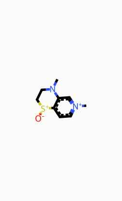 CN1CC[S+]([O-])c2cc[n+](C)cc21